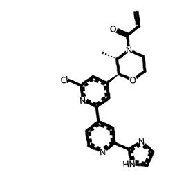 C=CC(=O)N1CCO[C@@H](c2cc(Cl)nc(-c3ccnc(-c4ncc[nH]4)c3)c2)[C@@H]1C